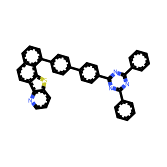 c1ccc(-c2nc(-c3ccccc3)nc(-c3ccc(-c4ccc(-c5cccc6ccc7c8ncccc8sc7c56)cc4)cc3)n2)cc1